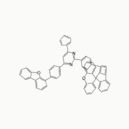 c1ccc(-c2cc(-c3ccc(-c4cccc5c4oc4ccccc45)cc3)nc(-c3ccc(-c4cccc5c4C4(c6ccccc6Oc6ccccc64)c4ccccc4-5)cc3)n2)cc1